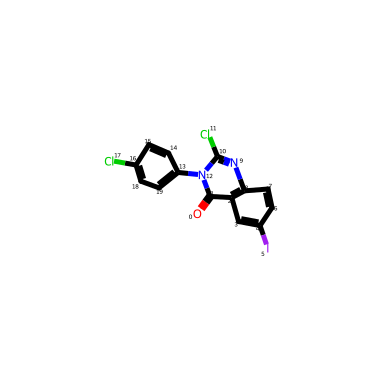 O=c1c2cc(I)ccc2nc(Cl)n1-c1ccc(Cl)cc1